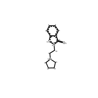 O=c1c2ccccc2sn1CCN1CCCC1